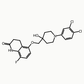 O=C1CCc2c(OCC3(O)CCN(c4ccc(Cl)c(Cl)c4)CC3)ccc(F)c2N1